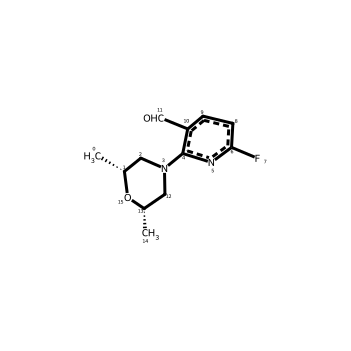 C[C@@H]1CN(c2nc(F)ccc2C=O)C[C@H](C)O1